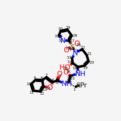 CC(C)C[C@H](NC(=O)c1cc2ccccc2o1)C(=O)NC1/C=C\CCN(S(=O)(=O)c2ccccn2)CC1O